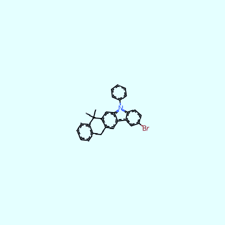 CC1(C)c2ccccc2Cc2cc3c4cc(Br)ccc4n(-c4ccccc4)c3cc21